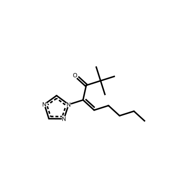 CCCCC=C(C(=O)C(C)(C)C)n1cncn1